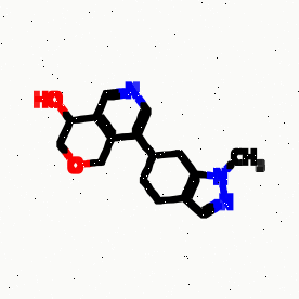 Cn1ncc2c1CC(c1cncc3c1COCC3O)CC2